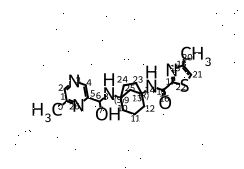 Cc1cncc(C(O)N[C@@]23CCC[C@@](NC(=O)c4nc(C)cs4)(CC2)C3)n1